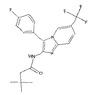 CC(C)(C)CC(=O)Nc1nc2ccc(C(F)(F)F)cn2c1-c1ccc(F)cc1